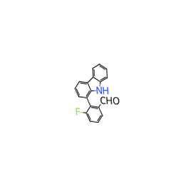 O=Cc1cccc(F)c1-c1cccc2c1[nH]c1ccccc12